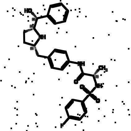 C[C@H](NS(=O)(=O)c1ccc(F)cc1)C(=O)Nc1ccc(C[C@@H]2CC[C@H]([C@H](O)c3ccccc3)N2)cc1